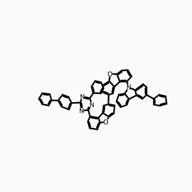 c1ccc(-c2ccc(-c3nc(-c4ccccc4)nc(-c4cccc5oc6ccc(-c7ccc8oc9cccc(-n%10c%11ccccc%11c%11cc(-c%12ccccc%12)ccc%11%10)c9c8c7)cc6c45)n3)cc2)cc1